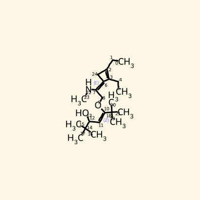 CCC1=C(CC)/C(=C(\CO/C(=C\C(O)C(C)(C)C)C(C)(C)C)NC)C1